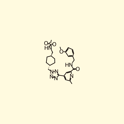 COc1cccc(CNC(=O)c2cc(-c3nnn(C[C@H]4CC[C@H](CNS(C)(=O)=O)CC4)n3)cc(C)n2)c1